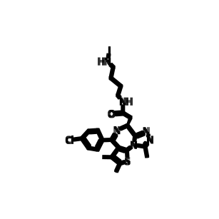 Cc1sc2c(c1C)C(c1ccc(Cl)cc1)=N[C@@H](CC(=O)NCCCCNI)c1nnc(C)n1-2